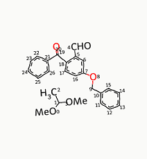 COC(C)OC.O=Cc1cc(OCc2ccccc2)ccc1C(=O)c1ccccc1